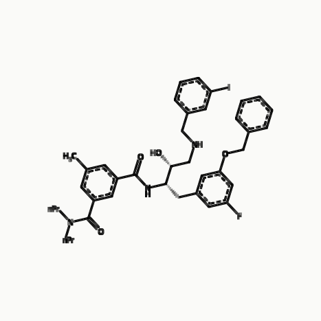 CCCN(CCC)C(=O)c1cc(C)cc(C(=O)N[C@@H](Cc2cc(F)cc(OCc3ccccc3)c2)[C@H](O)CNCc2cccc(I)c2)c1